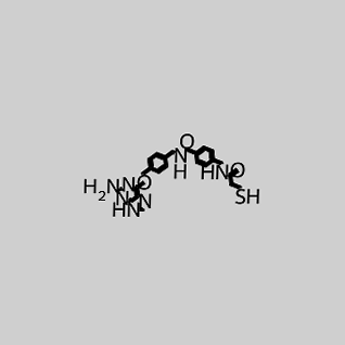 Nc1nc(OCc2ccc(CNC(=O)c3ccc(CNC(=O)CCS)cc3)cc2)c2nc[nH]c2n1